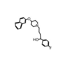 OC(CCCN1CCC(Oc2ccc3ccccc3c2)CC1)c1ccc(F)cc1